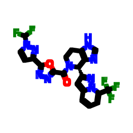 O=C(c1nnc(-c2ccn(C(F)F)n2)o1)N1CCc2[nH]cnc2[C@@H]1c1cc2cccc(C(F)(F)F)n2n1